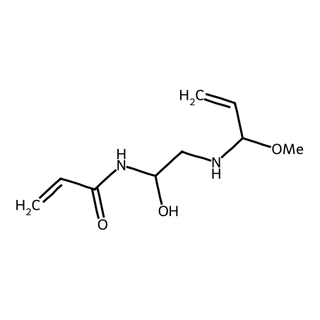 C=CC(=O)NC(O)CNC(C=C)OC